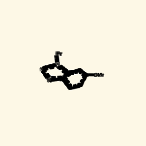 COc1ccc2nnn(C(C)C)c2c1